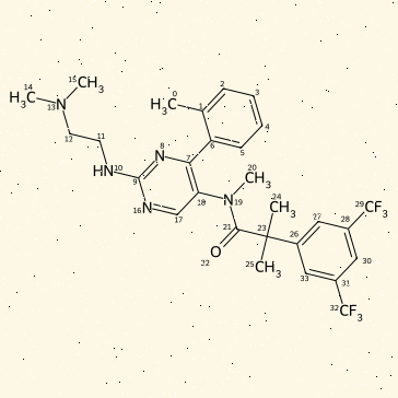 Cc1ccccc1-c1nc(NCCN(C)C)ncc1N(C)C(=O)C(C)(C)c1cc(C(F)(F)F)cc(C(F)(F)F)c1